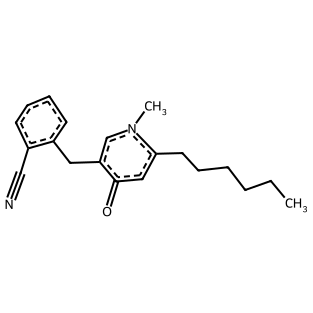 CCCCCCc1cc(=O)c(Cc2ccccc2C#N)cn1C